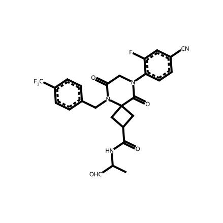 CC(C=O)NC(=O)C1CC2(C1)C(=O)N(c1ccc(C#N)cc1F)CC(=O)N2Cc1ccc(C(F)(F)F)cc1